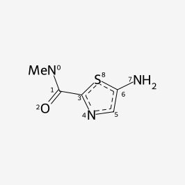 CNC(=O)c1ncc(N)s1